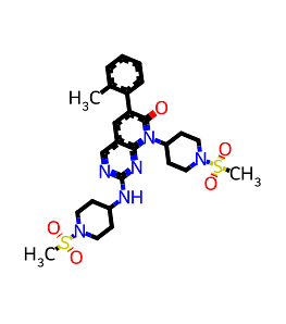 Cc1ccccc1-c1cc2cnc(NC3CCN(S(C)(=O)=O)CC3)nc2n(C2CCN(S(C)(=O)=O)CC2)c1=O